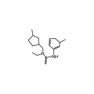 C=C(NC1=CC(C)CC=C1)N(CC)CC1CCC(C)C1